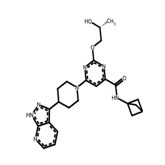 C[C@@H](O)COc1nc(C(=O)NC23CC(C2)C3)cc(N2CCC(c3n[nH]c4ncccc34)CC2)n1